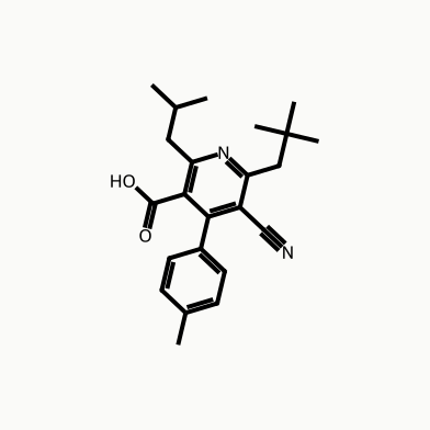 Cc1ccc(-c2c(C#N)c(CC(C)(C)C)nc(CC(C)C)c2C(=O)O)cc1